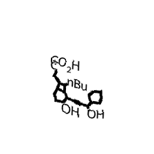 CCCCC1C(=CCCC(=O)O)C2CCC(O)C(C#CC(O)C3CCCCC3)C12